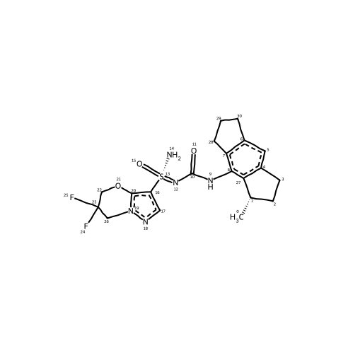 C[C@H]1CCc2cc3c(c(NC(=O)N=[S@](N)(=O)c4cnn5c4OCC(F)(F)C5)c21)CCC3